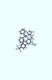 CC1=CC(C)[C]([Zr+2](=[C](c2ccccc2)c2ccccc2)[c]2c(C(C)(C)C)ccc3c2Cc2cc(C(C)(C)C)ccc2-3)=C1.[Cl-].[Cl-]